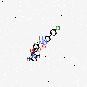 O=C(Nc1ccc(O[C@H]2C[C@H]3CC[C@@H](C2)N3CC2CCOC2)cc1)N1CCC(c2ccc(Cl)cc2)CC1